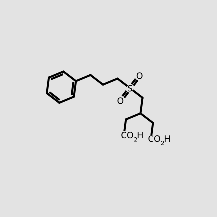 O=C(O)CC(CC(=O)O)CS(=O)(=O)CCCc1ccccc1